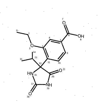 CCOc1cc(C(=O)O)ccc1C1(C(C)C)NC(=O)NC1=O